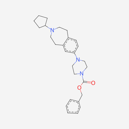 O=C(OCc1ccccc1)N1CCN(c2ccc3c(c2)CCN(C2CCCC2)CC3)CC1